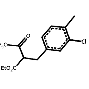 CCOC(=O)C(Cc1ccc(C)c(Cl)c1)C(=O)C(F)(F)F